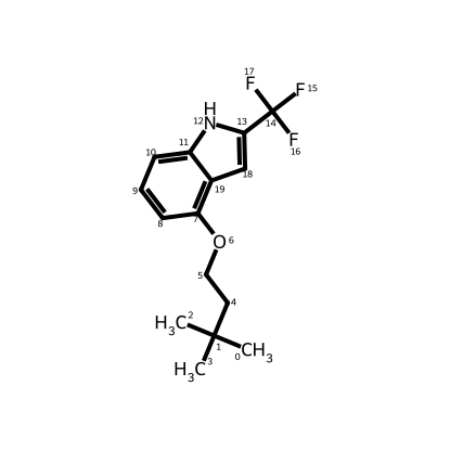 CC(C)(C)CCOc1cccc2[nH]c(C(F)(F)F)cc12